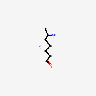 CC(N)CCCCC=O.I